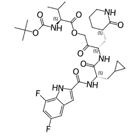 CC(C)[C@H](NC(=O)OC(C)(C)C)C(=O)OCC(=O)[C@H](C[C@@H]1CCCNC1=O)NC(=O)[C@H](CC1CC1)NC(=O)c1cc2cc(F)cc(F)c2[nH]1